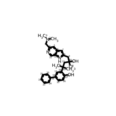 CN(C)Cc1cc2cc(CC(O)(CC(C)(C)c3cc(-c4ccccc4)ccc3O)C(F)(F)F)[nH]c2cn1